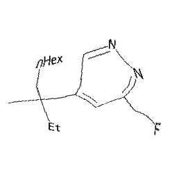 CCCCCCC(C)(CC)c1cnnc(F)c1